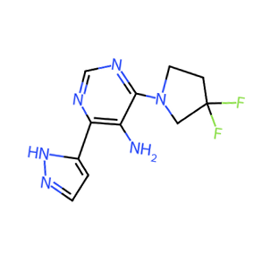 Nc1c(-c2ccn[nH]2)ncnc1N1CCC(F)(F)C1